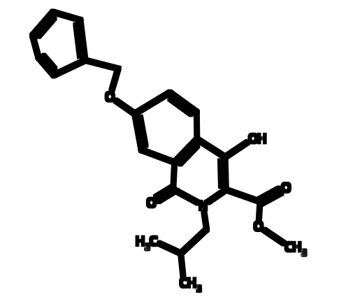 COC(=O)c1c(O)c2ccc(OCc3ccccc3)cc2c(=O)n1CC(C)C